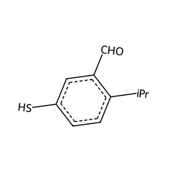 CC(C)c1ccc(S)cc1C=O